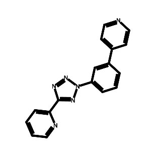 c1ccc(-c2nnn(-c3cccc(-c4ccncc4)c3)n2)nc1